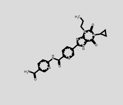 CCCn1c(=O)n(C2CC2)c(=O)c2[nH]c(-c3ccc(C(=O)Nc4ccc(C(N)=O)cn4)nc3)nc21